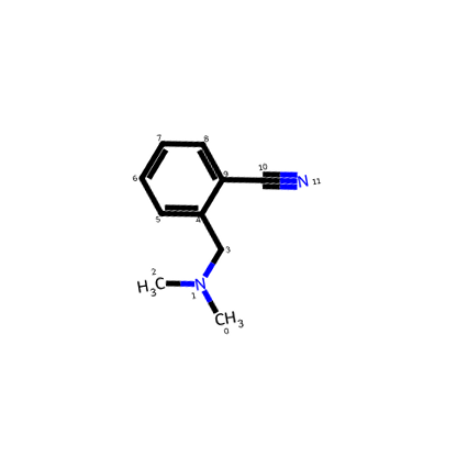 CN(C)Cc1ccccc1C#N